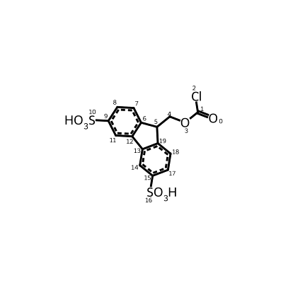 O=C(Cl)OCC1c2ccc(S(=O)(=O)O)cc2-c2cc(S(=O)(=O)O)ccc21